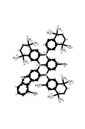 Cc1cc2c(cc1N1c3cc4c(cc3B3c5cc6c(cc5N(c5ccc7c(c5)C(C)(C)CCC7(C)C)c5cc(C(C)(C)C)cc1c53)C(C)(C)CCC6(C)C)sc1cccc(C(C)(C)C)c14)C(C)(C)CCC2(C)C